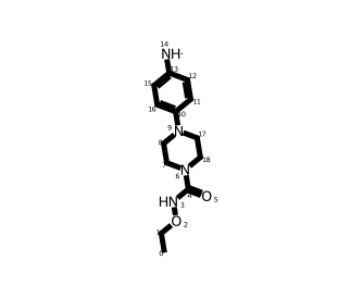 CCONC(=O)N1CCN(c2ccc([NH])cc2)CC1